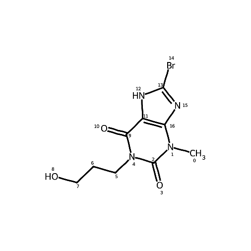 Cn1c(=O)n(CCCO)c(=O)c2[nH]c(Br)nc21